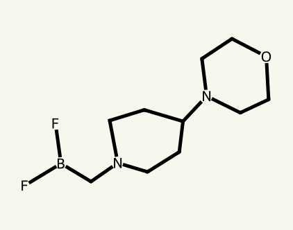 FB(F)CN1CCC(N2CCOCC2)CC1